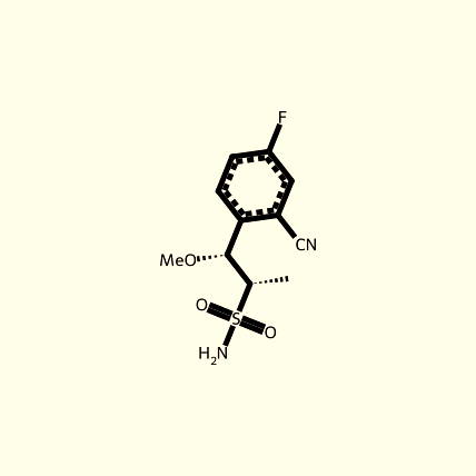 CO[C@H](c1ccc(F)cc1C#N)[C@H](C)S(N)(=O)=O